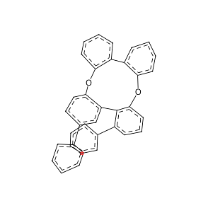 c1ccc(-c2ccc3c(c2)-c2c(cccc2-c2ccccc2)Oc2ccccc2-c2ccccc2O3)cc1